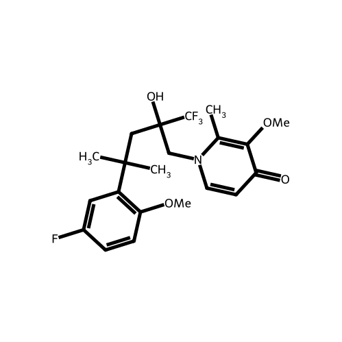 COc1ccc(F)cc1C(C)(C)CC(O)(Cn1ccc(=O)c(OC)c1C)C(F)(F)F